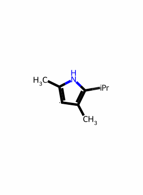 Cc1[c]c(C)c(C(C)C)[nH]1